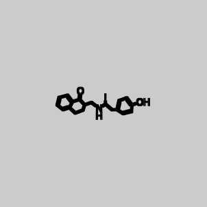 O=C1c2ccccc2CCC1CNC(I)Cc1ccc(O)cc1